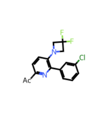 CC(=O)c1ccc(N2CC(F)(F)C2)c(-c2cccc(Cl)c2)n1